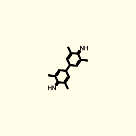 CC1=CC(C2C=C(C)C(=N)C(C)=C2)C=C(C)C1=N